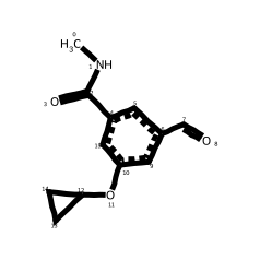 CNC(=O)c1cc(C=O)cc(OC2CC2)c1